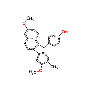 COc1ccc2c3c(ccc2c1)-c1cc(OC)c(C)cc1C3c1ccc(O)cc1